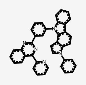 c1ccc(-n2ccc3c2ccc2c4ccccc4n(-c4cccc(-c5nc(-c6ccccn6)c6ccccc6n5)c4)c23)cc1